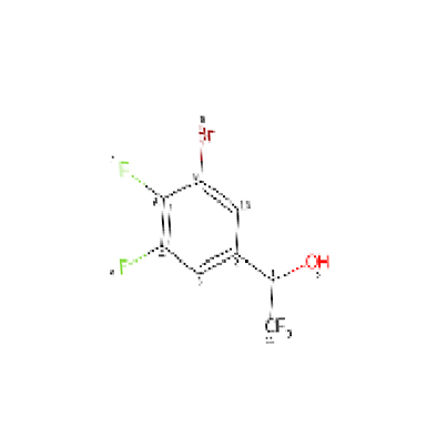 OC(c1cc(F)c(F)c(Br)c1)C(F)(F)F